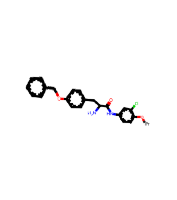 CC(C)Oc1ccc(NC(=O)C(N)Cc2ccc(OCc3ccccc3)cc2)cc1Cl